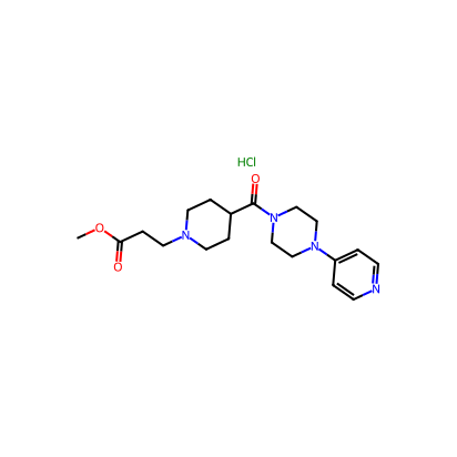 COC(=O)CCN1CCC(C(=O)N2CCN(c3ccncc3)CC2)CC1.Cl